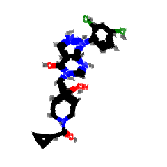 O=C(C1CC1)N1CCC(O)(Cn2cnc3c(cnn3-c3ccc(Cl)cc3Cl)c2=O)CC1